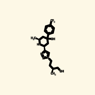 C[C@H](CO)CCn1cc([C@@H]2CC(O)(c3ccc(C(F)(F)F)cc3)C[C@H](C)N2)nn1